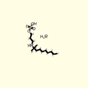 CCCCCCCCC(C)(C)NCCCOS(=O)(=O)O.O